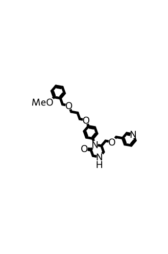 COc1ccccc1COCCCOc1ccc(N2C(=O)CNCC2COCc2cccnc2)cc1